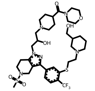 CS(=O)(=O)N1CCc2c(c(-c3ccc(C(F)(F)F)c(SCCN4CCCC(CO)C4)c3)nn2CC(O)CN2CCC(C(=O)N3CCOCC3)CC2)C1